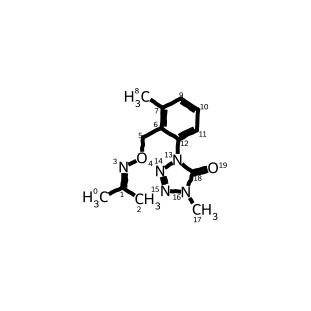 CC(C)=NOCc1c(C)cccc1-n1nnn(C)c1=O